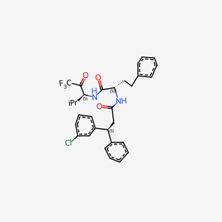 CC(C)[C@H](NC(=O)[C@H](CCc1ccccc1)NC(=O)C[C@@H](c1ccccc1)c1cccc(Cl)c1)C(=O)C(F)(F)F